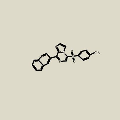 Cc1ccc(S(=O)(=O)c2cnc(-c3ccc4ccccc4c3)c3nccn23)cc1